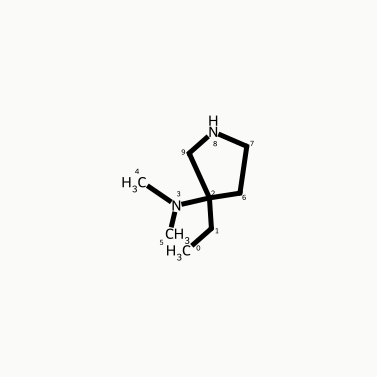 CCC1(N(C)C)CCNC1